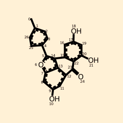 Cc1ccc(-c2oc3cc(O)cc4c3c2-c2cc(O)cc(O)c2C4=O)cc1